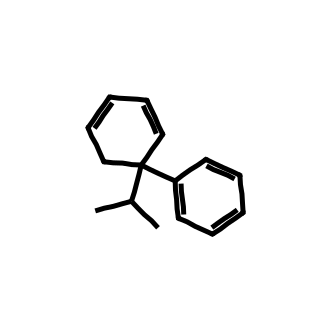 CC(C)C1(c2ccccc2)C=CC=CC1